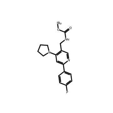 CC(C)(C)OC(=O)NCc1cnc(-c2ccc(F)cc2)cc1N1CCCC1